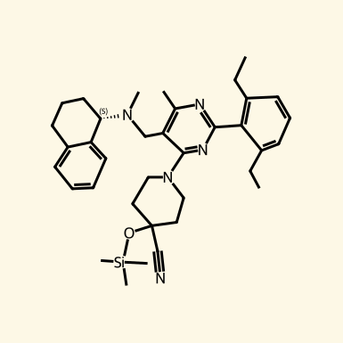 CCc1cccc(CC)c1-c1nc(C)c(CN(C)[C@H]2CCCc3ccccc32)c(N2CCC(C#N)(O[Si](C)(C)C)CC2)n1